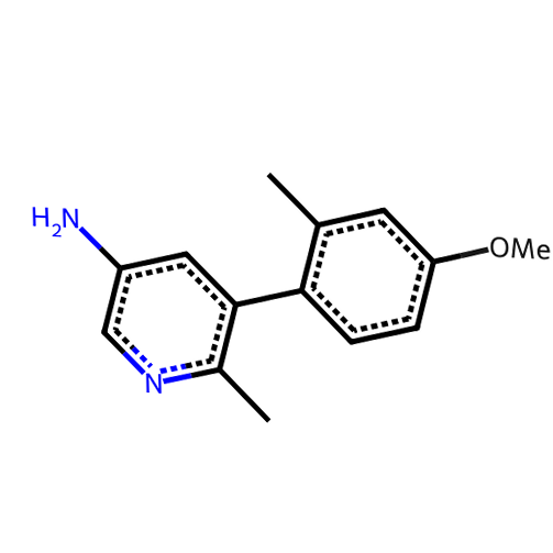 COc1ccc(-c2cc(N)cnc2C)c(C)c1